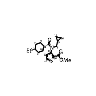 CC[C@H]1CC[C@H](C(=O)N(CC2CC2)c2ccsc2C(=O)OC)CC1